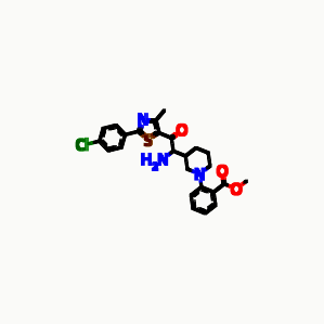 COC(=O)c1ccccc1N1CCCC(C(N)C(=O)c2sc(-c3ccc(Cl)cc3)nc2C)C1